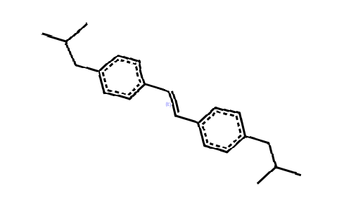 CC(C)Cc1ccc(/C=C/c2ccc(CC(C)C)cc2)cc1